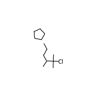 C1CCCC1.CCCC(C)C(C)(C)Cl